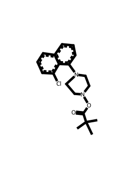 CC(C)(C)C(=O)ON1CCN(c2cccc3cccc(Cl)c23)CC1